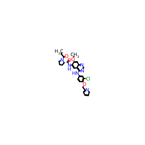 C=CC(=O)N1CCC[C@H]1C(=O)Nc1cc2c(Nc3ccc(OCc4ccccn4)c(Cl)c3)ncnc2cc1OCC